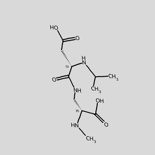 CN[C@H](CNC(=O)[C@H](CC(=O)O)NC(C)C)C(=O)O